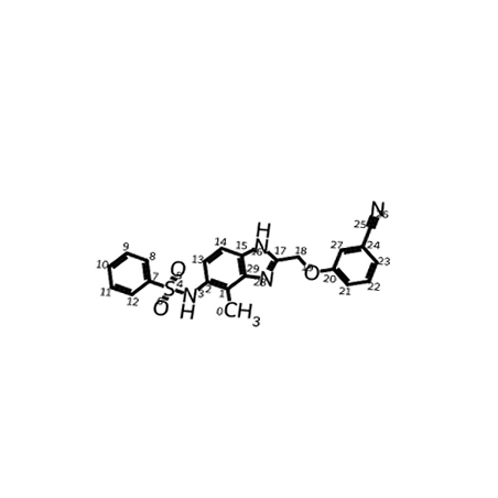 Cc1c(NS(=O)(=O)c2ccccc2)ccc2[nH]c(COc3cccc(C#N)c3)nc12